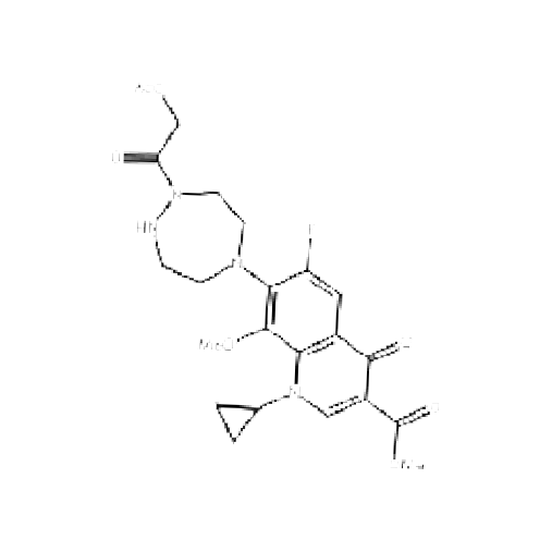 COC(=O)c1cn(C2CC2)c2c(OC)c(N3CCNN(C(=O)COC(C)=O)CC3)c(F)cc2c1=O